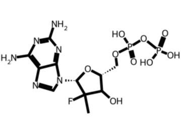 CC1(F)C(O)[C@@H](COP(=O)(O)OP(=O)(O)O)O[C@H]1n1cnc2c(N)nc(N)nc21